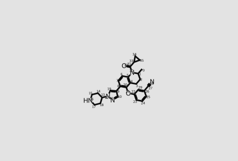 CC1CCc2c(ccc(-c3cnn(C4CCNCC4)c3)c2Oc2cccc(C#N)c2)N1C(=O)C1CC1